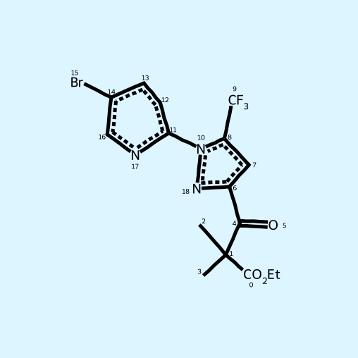 CCOC(=O)C(C)(C)C(=O)c1cc(C(F)(F)F)n(-c2ccc(Br)cn2)n1